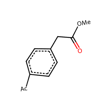 COC(=O)Cc1ccc(C(C)=O)cc1